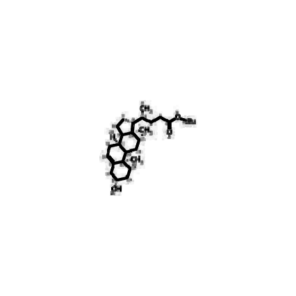 C[C@H](CCC(=O)OC(C)(C)C)[C@H]1CCC2[C@@H]3CC=C4C[C@@H](O)CC[C@]4(C)C3CC[C@@]21C